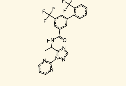 CC(NC(=O)c1cc(-c2ccccc2C(F)(F)F)cc(C(F)(F)F)c1)c1ncnn1-c1ncccn1